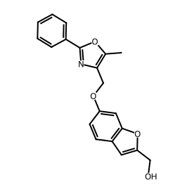 Cc1oc(-c2ccccc2)nc1COc1ccc2cc(CO)oc2c1